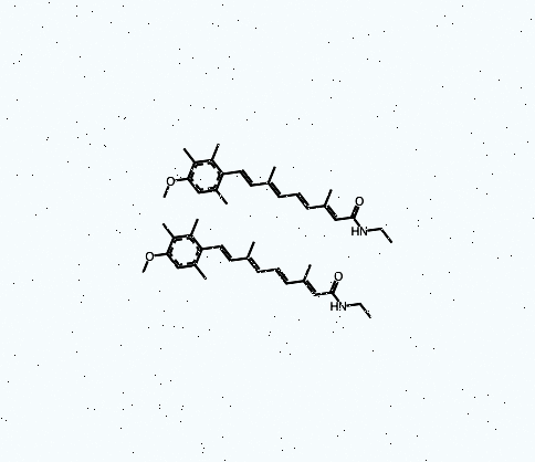 CCNC(=O)/C=C(C)/C=C/C=C(C)/C=C/c1c(C)cc(OC)c(C)c1C.CCNC(=O)/C=C(C)/C=C/C=C(C)/C=C/c1c(C)cc(OC)c(C)c1C